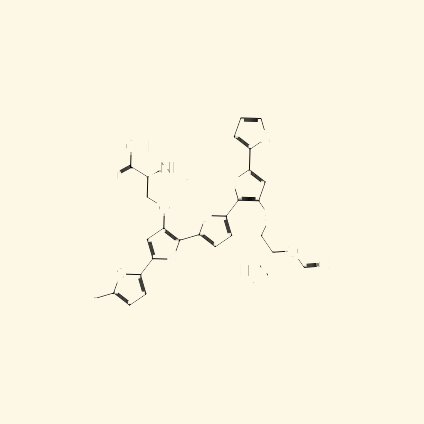 N[C@H](COc1cc(-c2cccs2)sc1-c1ccc(-c2sc(-c3ccc(I)s3)cc2OC[C@H](N)C(=O)O)s1)OC=O